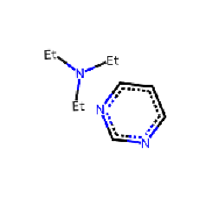 CCN(CC)CC.c1cncnc1